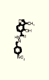 Cc1coc2ccc(C(=O)NN=Cc3ccc([N+](=O)[O-])cc3)c(O)c12